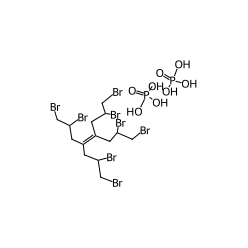 BrCC(Br)CC(CC(Br)CBr)=C(CC(Br)CBr)CC(Br)CBr.O=P(O)(O)O.O=P(O)(O)O